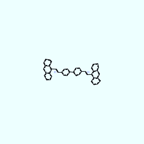 C(=C\c1c2ccccc2cc2ccccc12)/c1ccc(-c2ccc(/C=C/c3c4ccccc4cc4ccccc34)cc2)cc1